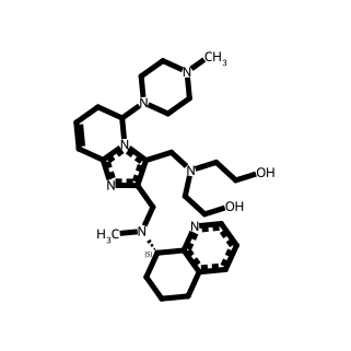 CN1CCN(C2CC=Cc3nc(CN(C)[C@H]4CCCc5cccnc54)c(CN(CCO)CCO)n32)CC1